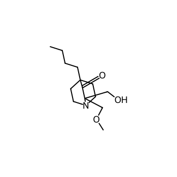 CCCCC12CCN(CC1)C(CO)(COC)C2=O